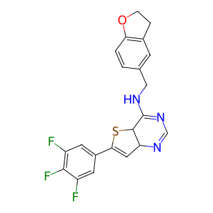 Fc1cc(C2=CC3N=CN=C(NCc4ccc5c(c4)CCO5)C3S2)cc(F)c1F